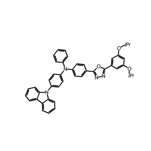 CC(C)Oc1cc(OC(C)C)cc(-c2nnc(-c3ccc(N(c4ccccc4)c4ccc(-n5c6ccccc6c6ccccc65)cc4)cc3)o2)c1